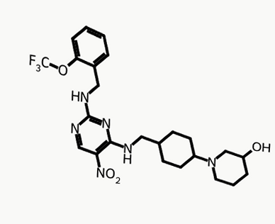 O=[N+]([O-])c1cnc(NCc2ccccc2OC(F)(F)F)nc1NCC1CCC(N2CCCC(O)C2)CC1